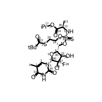 Cc1cn([C@@H]2O[C@H](CO[P@](=S)(N[C@H](C)C(=O)OC(C)C)OCCSC(=O)C(C)(C)C)[C@@H](O)[C@@]2(F)Cl)c(=O)[nH]c1=O